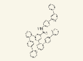 O=C(Nc1ccc(-c2cc(-c3ccccc3)ccn2)cc1)c1cc(-c2ccccc2-c2ccc(-c3ccccn3)cc2)cc(-c2ccccc2-c2ccc(-c3ccccn3)cc2)c1